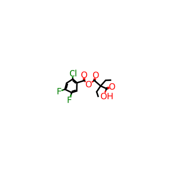 CCC(CC)(C(=O)O)C(=O)OC(=O)c1cc(F)c(F)cc1Cl